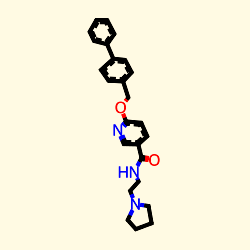 O=C(NCCN1CCCC1)c1ccc(OCc2ccc(-c3ccccc3)cc2)nc1